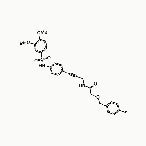 COc1ccc(S(=O)(=O)Nc2ccc(C#CCNC(=O)COCc3ccc(F)cc3)cn2)cc1OC